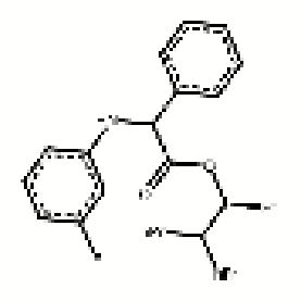 CCCC(CCC)[C@H](CC)OC(=O)C(Nc1cccc(F)c1)c1ccccc1